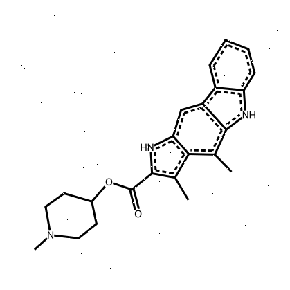 Cc1c(C(=O)OC2CCN(C)CC2)[nH]c2cc3c([nH]c4ccccc43)c(C)c12